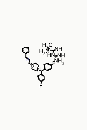 CN(C)C(=N)NC(=N)N.Fc1ccc(C(c2ccc(F)cc2)N2CCN(C/C=C/c3ccccc3)CC2)cc1